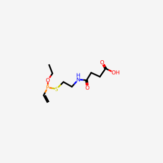 C=CP(OCC)SCCNC(=O)CCC(=O)O